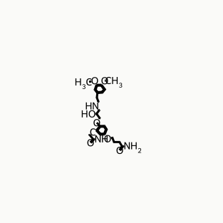 COc1ccc(CCNCC(O)COc2ccc(OCCCC(N)=O)c3c2CCC(=O)N3)cc1OC